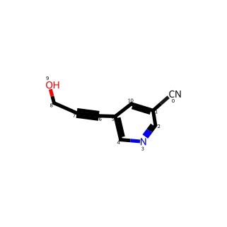 N#Cc1cncc(C#CCO)c1